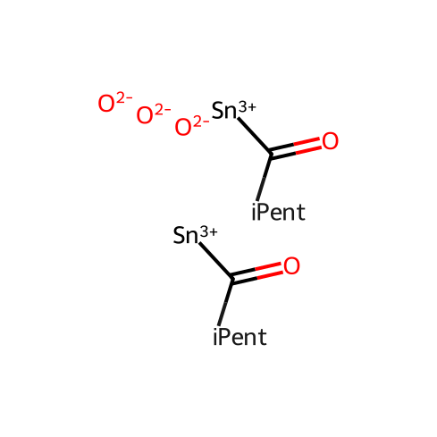 CCCC(C)[C](=O)[Sn+3].CCCC(C)[C](=O)[Sn+3].[O-2].[O-2].[O-2]